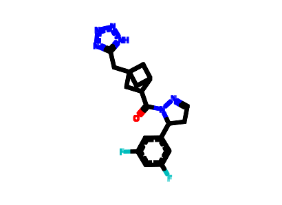 O=C(C1CC2(Cc3nnn[nH]3)CC1C2)N1N=CCC1c1cc(F)cc(F)c1